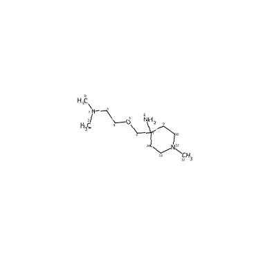 CN(C)CCOCC1(N)CCN(C)CC1